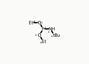 CCOP(NC(C)(C)C)OCC